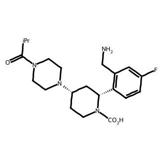 CC(C)C(=O)N1CCN([C@H]2CCN(C(=O)O)[C@@H](c3ccc(F)cc3CN)C2)CC1